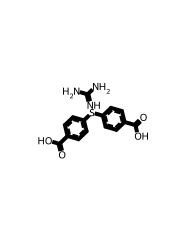 N=C(N)N.O=C(O)c1ccc(Sc2ccc(C(=O)O)cc2)cc1